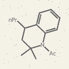 CCCC1CC(C)(C)N(C(C)=O)c2ccccc21